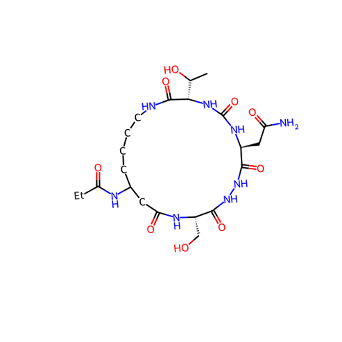 CCC(=O)NC1CCCCNC(=O)[C@H](C(C)O)NC(=O)N[C@@H](CC(N)=O)C(=O)NNC(=O)[C@H](CO)NC(=O)C1